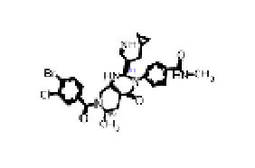 CNC(=O)c1ccc(N2C(=O)C3=C(CN(C(=O)c4ccc(Br)c(Cl)c4)[C@H](C)C3)N/C2=C(\C=N)CC2CC2)cc1